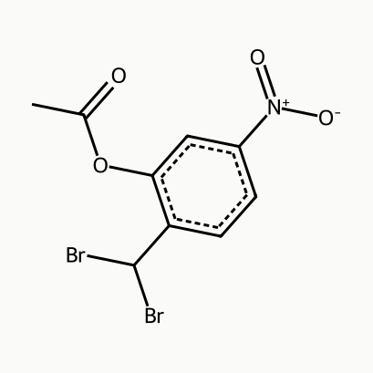 CC(=O)Oc1cc([N+](=O)[O-])ccc1C(Br)Br